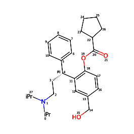 CC(C)N(CC[C@H](c1ccccc1)c1cc(CO)ccc1OC(=O)C1CCCC1)C(C)C